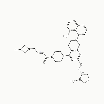 Cc1cccc2cccc(N3CCc4c(nc(OC[C@@H]5CCCN5C)nc4N4CCN(C(=O)/C=C/CN5CC(F)C5)CC4)C3)c12